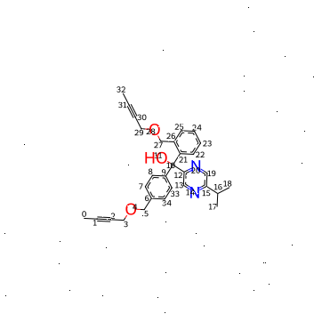 CC#CCOCc1ccc(C(O)(c2cnc(C(C)C)cn2)c2ccccc2COCC#CC)cc1